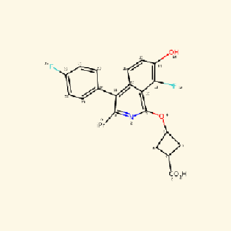 CC(C)c1nc(OC2CC(C(=O)O)C2)c2c(F)c(O)ccc2c1-c1ccc(F)cc1